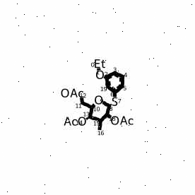 CCOc1cccc(S[C@H]2OC(COC(C)=O)[C@H](OC(C)=O)C(C)C2OC(C)=O)c1